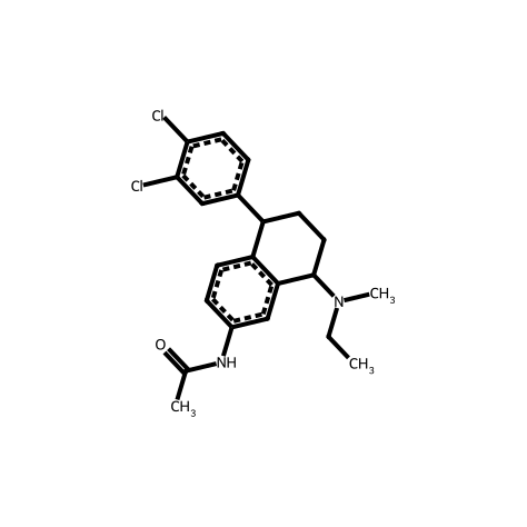 CCN(C)C1CCC(c2ccc(Cl)c(Cl)c2)c2ccc(NC(C)=O)cc21